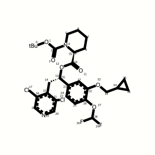 CC(C)(C)OC(=O)N1CCCC[C@H]1C(=O)O[C@@H](Cc1c(Cl)cncc1Cl)c1ccc(OC(F)F)c(OCC2CC2)c1